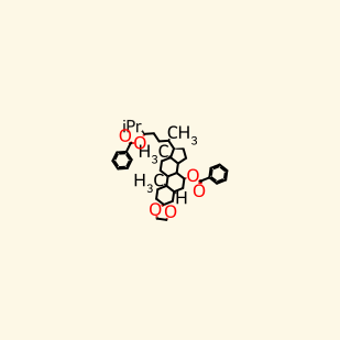 CC(C)[C@@H](CC[C@@H](C)[C@H]1CCC2C3C(CC[C@@]21C)[C@@]1(C)CCC2(C[C@@H]1C[C@H]3OC(=O)c1ccccc1)OCCO2)OC(=O)c1ccccc1